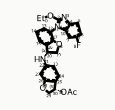 CCOc1nc2ccc(F)cc2n1-c1cccc2c1OC[C@H]2Nc1ccc2c(c1)OC[C@H]2OC(C)=O